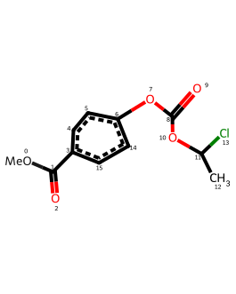 COC(=O)c1ccc(OC(=O)OC(C)Cl)cc1